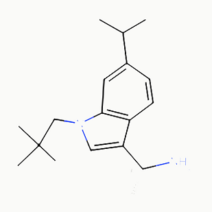 CC(C)c1ccc2c([C@@H](C)N)cn(CC(C)(C)C)c2c1